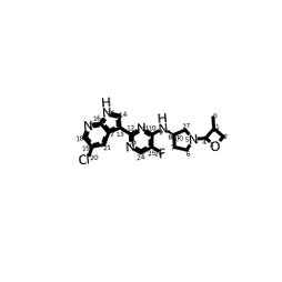 C[C]1COC1N1CC[C@@H](Nc2nc(-c3c[nH]c4ncc(Cl)cc34)ncc2F)C1